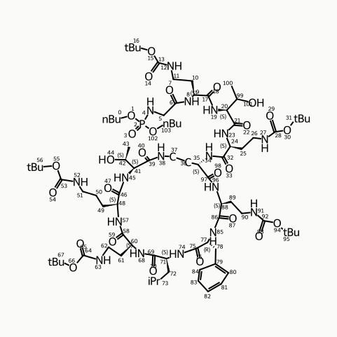 CCCCOP(=O)(NCC(=O)N[C@@H](CCNC(=O)OC(C)(C)C)C(=O)N[C@H](C(=O)N[C@@H](CCNC(=O)OC(C)(C)C)C(=O)N[C@H]1CCNC(=O)[C@H]([C@H](C)O)NC(=O)[C@H](CCCNC(=O)OC(C)(C)C)NC(=O)[C@H](CCNC(=O)OC(C)(C)C)NC(=O)[C@H](CC(C)C)NC(=O)[C@@H](Cc2ccccc2)NC(=O)[C@H](CCNC(=O)OC(C)(C)C)NC1=O)C(C)O)OCCCC